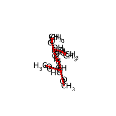 CCCCOC(=O)CCCCCCC(O)CN(CCCSSCCN1CCN(CCOC(=O)CCCN(CC(O)CCCCC(=O)OCC(CC)CC)CC(O)CCCCC(=O)OCC(CC)CC)CC1)CC(O)CCCCCCC(=O)OCCCC